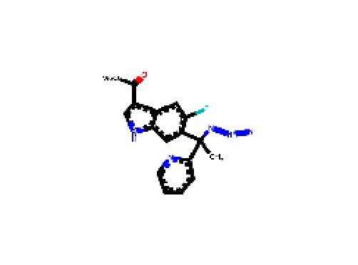 COC(=O)c1c[nH]c2cc(C(C)(N=[N+]=[N-])c3ccccn3)c(F)cc12